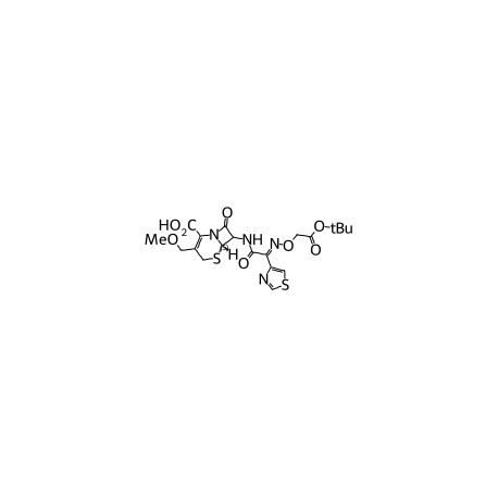 COCC1=C(C(=O)O)N2C(=O)C(NC(=O)C(=NOCC(=O)OC(C)(C)C)c3cscn3)[C@@H]2SC1